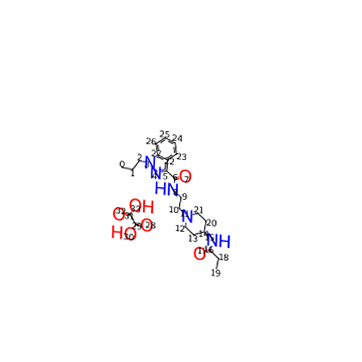 CCCn1nc(C(=O)NCCN2CCC(NC(=O)CC)CC2)c2ccccc21.O=C(O)C(=O)O